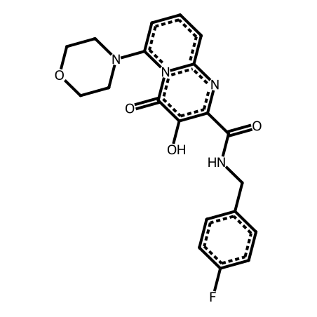 O=C(NCc1ccc(F)cc1)c1nc2cccc(N3CCOCC3)n2c(=O)c1O